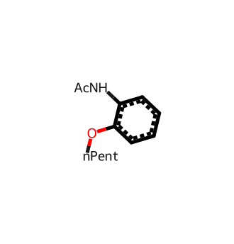 [CH2]C(=O)Nc1ccccc1OCCCCC